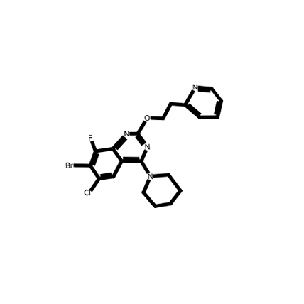 Fc1c(Br)c(Cl)cc2c(N3CCCCC3)nc(OCCc3ccccn3)nc12